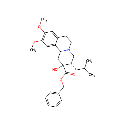 COc1cc2c(cc1OC)C1CC(O)(C(=O)OCc3ccccc3)[C@@H](CC(C)C)CN1CC2